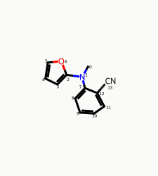 CN(c1ccco1)c1ccccc1C#N